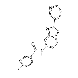 Cc1ccc(C(=O)Nc2ccc3oc(-c4cccnc4)nc3c2)cc1